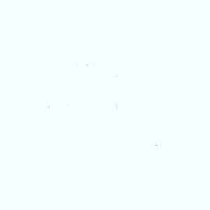 CCCCCC(=O)P(C(=O)CCCCC)C(=O)CCCCC